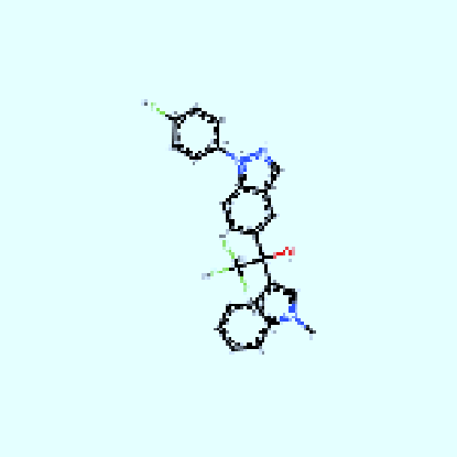 Cn1cc(C(O)(c2ccc3c(cnn3-c3ccc(F)cc3)c2)C(F)(F)F)c2ccccc21